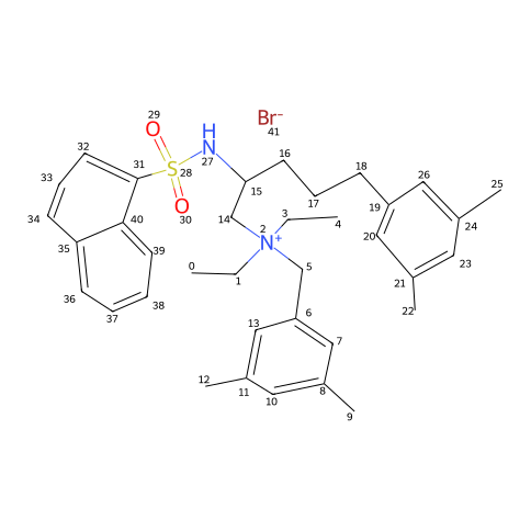 CC[N+](CC)(Cc1cc(C)cc(C)c1)CC(CCCc1cc(C)cc(C)c1)NS(=O)(=O)c1cccc2ccccc12.[Br-]